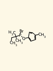 CCC(C)(C)P(Br)Oc1ccc(C)cc1